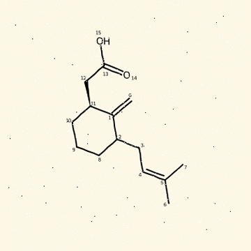 C=C1C(CC=C(C)C)CCC[C@H]1CC(=O)O